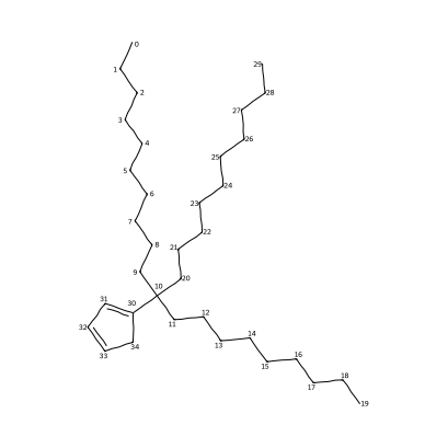 CCCCCCCCCCC(CCCCCCCCC)(CCCCCCCCCC)C1=CC=CC1